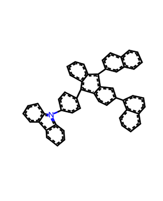 c1ccc2cc(-c3c4ccccc4c(-c4ccc(-n5c6ccccc6c6ccccc65)cc4)c4ccc(-c5cccc6ccccc56)cc34)ccc2c1